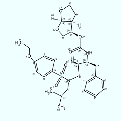 CCOc1ccc(S(=O)(=O)N(CC(C)C)C[C@@H](N)[C@H](Cc2ccccc2)NC(=O)O[C@H]2CO[C@H]3OCC[C@H]32)cc1